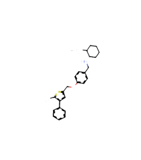 O=C(O)C1CCCC[C@@H]1NCc1ccc(OCc2cc(-c3ccccc3)c(C(F)(F)F)s2)cc1